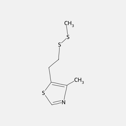 CSSCCc1scnc1C